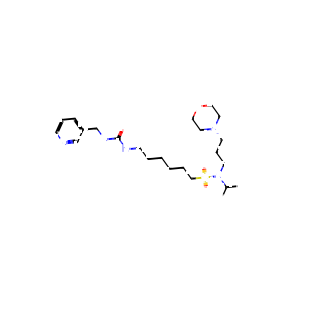 CC(C)N(CCCN1CCOCC1)S(=O)(=O)CCCCCCNC(=O)NCc1cccnc1